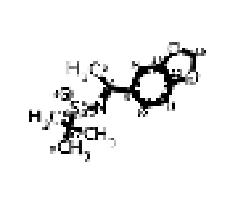 CC(=N[S@+]([O-])C(C)(C)C)c1ccc2c(c1)OCO2